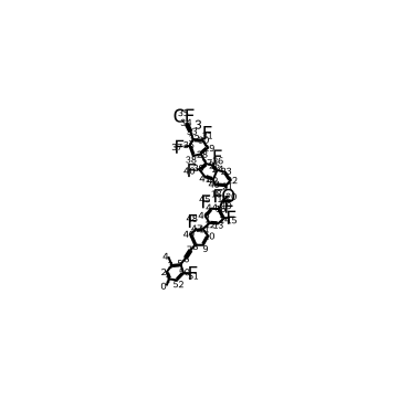 Cc1cc(C)c(C#Cc2ccc(-c3cc(F)c(C(F)(F)Oc4ccc5c(F)c(-c6cc(F)c(C#CC(F)(F)F)c(F)c6)c(F)cc5c4)c(F)c3)c(F)c2)c(F)c1